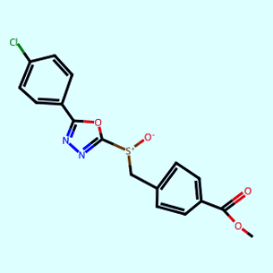 COC(=O)c1ccc(C[S+]([O-])c2nnc(-c3ccc(Cl)cc3)o2)cc1